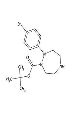 CC(C)(C)OC(=O)N1CCNCCN1c1ccc(Br)cc1